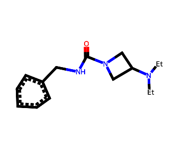 CCN(CC)C1CN(C(=O)NCc2ccccc2)C1